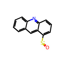 O=[S+]c1cccc2nc3ccccc3cc12